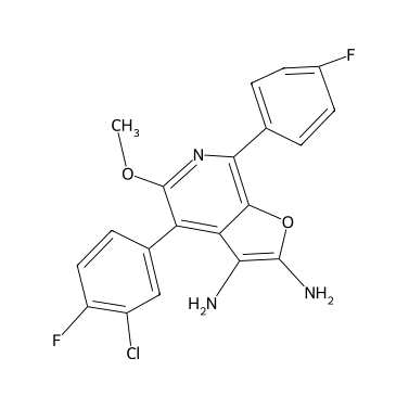 COc1nc(-c2ccc(F)cc2)c2oc(N)c(N)c2c1-c1ccc(F)c(Cl)c1